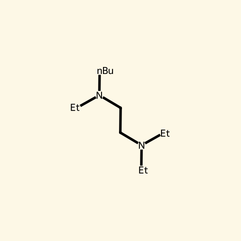 CCCCN(CC)CCN(CC)CC